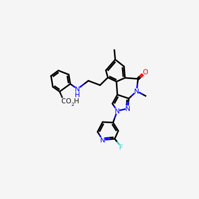 Cc1cc(CCNc2ccccc2C(=O)O)c2c(c1)c(=O)n(C)c1nn(-c3ccnc(F)c3)cc21